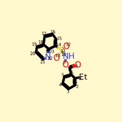 CCc1ccccc1C(=O)ONS(=O)(=O)c1cccc2cccnc12